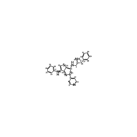 N[C@H](CNc1nc(-c2ccncc2)nc2c(Nc3ccccc3)csc12)Cc1ccccc1